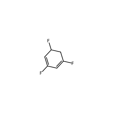 FC1=CC(F)CC(F)=C1